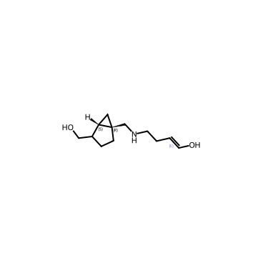 O/C=C/CCNC[C@@]12CCC(CO)[C@@H]1C2